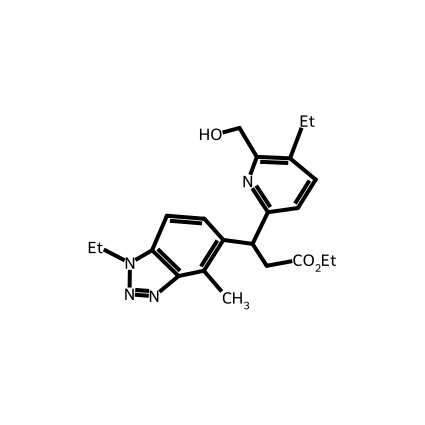 CCOC(=O)CC(c1ccc(CC)c(CO)n1)c1ccc2c(nnn2CC)c1C